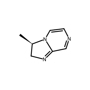 C[C@@H]1CN=C2C=NC=CN21